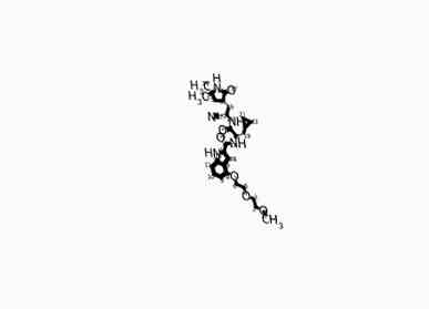 COCCOCCOc1cccc2[nH]c(C(=O)N[C@@H](CC3CC3)C(=O)N[C@H](C#N)C[C@@H]3CC(C)(C)NC3=O)cc12